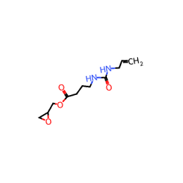 C=CCNC(=O)NCCCC(=O)OCC1CO1